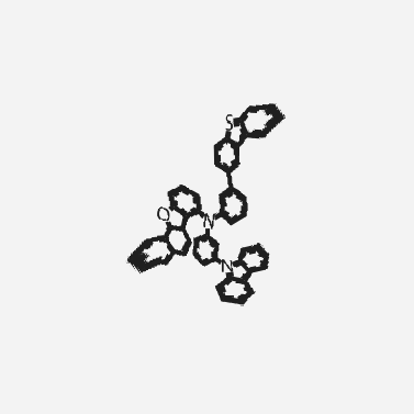 C1=CC2c3c(cccc3N(c3cccc(-c4ccc5sc6ccccc6c5c4)c3)c3cccc(-n4c5ccccc5c5ccccc54)c3)OC2c2ccccc21